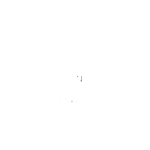 O=CCCN(Cc1ccccc1)Cc1ccccc1